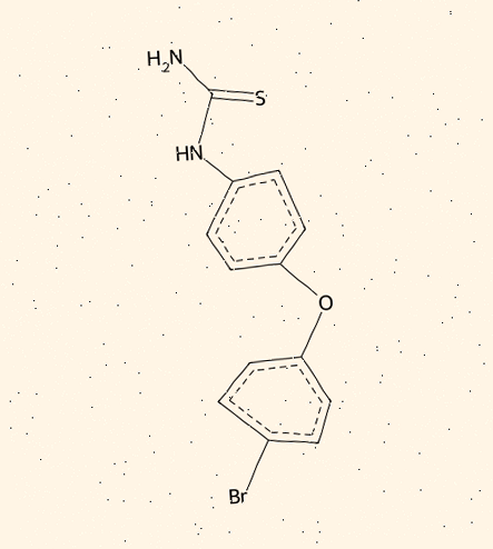 NC(=S)Nc1ccc(Oc2ccc(Br)cc2)cc1